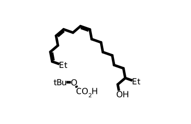 CC(C)(C)OC(=O)O.CC/C=C\C/C=C\C/C=C\CCCCCCC(CC)CO